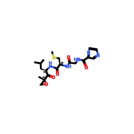 CSC[C@@H](NC(=O)CNC(=O)c1cnccn1)C(=O)N[C@@H](CC(C)C)C(=O)[C@@]1(C)CO1